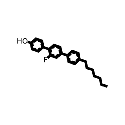 CCCCCCCc1ccc(-c2ccc(-c3ccc(O)cc3)c(F)c2)cc1